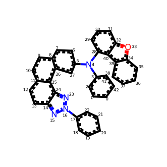 c1ccc(N(c2ccc3ccc4ccc5nn(-c6ccccc6)nc5c4c3c2)c2cccc3oc4ccccc4c23)cc1